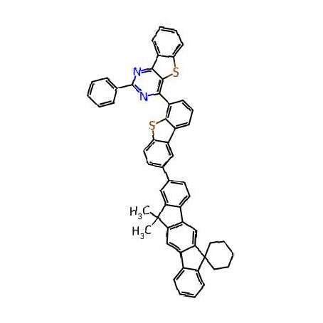 CC1(C)c2cc(-c3ccc4sc5c(-c6nc(-c7ccccc7)nc7c6sc6ccccc67)cccc5c4c3)ccc2-c2cc3c(cc21)-c1ccccc1C31CCCCC1